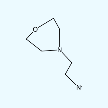 [N]CCN1CCOCC1